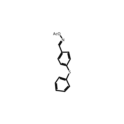 CC(=O)ON=Cc1ccc(Sc2ccccc2)cc1